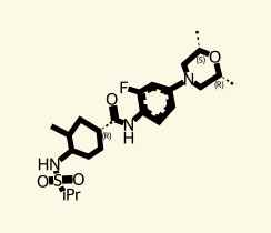 CC1C[C@H](C(=O)Nc2ccc(N3C[C@@H](C)O[C@@H](C)C3)cc2F)CCC1NS(=O)(=O)C(C)C